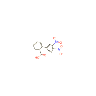 O=C(O)c1ccccc1-c1ccc([N+](=O)[O-])c([N+](=O)[O-])c1